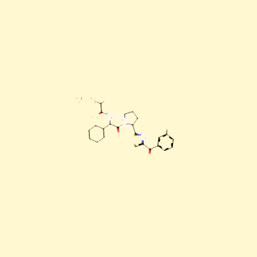 CNC(C)C(=O)NC(C(=O)N1CCCC1c1nc(C(=O)c2cccc(C)c2)cs1)C1CCCCC1